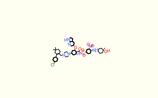 CC1(C)CCC(CN2CCN(c3ccc(C(=O)NS(=O)(=O)c4ccc(NC[C@H]5CC[C@@](C)(O)CC5)c([N+](=O)[O-])c4)c(Oc4cnc5[nH]ccc5c4)c3)CC2)=C(c2ccc(Cl)cc2)C1